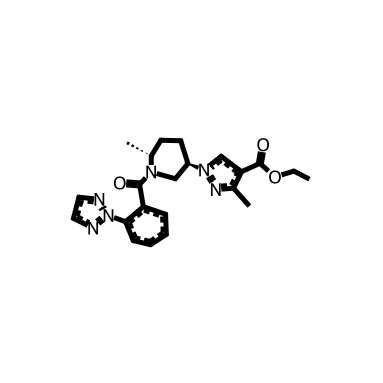 CCOC(=O)c1cn([C@@H]2CC[C@@H](C)N(C(=O)c3ccccc3-n3nccn3)C2)nc1C